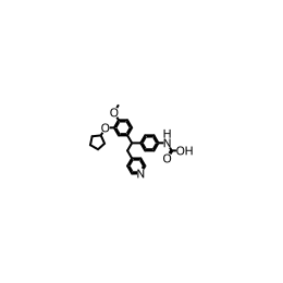 COc1ccc(C(Cc2ccncc2)c2ccc(NC(=O)O)cc2)cc1OC1CCCC1